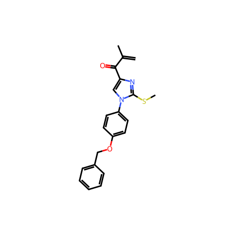 C=C(C)C(=O)c1cn(-c2ccc(OCc3ccccc3)cc2)c(SC)n1